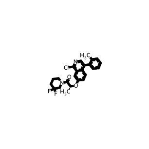 Cc1ccccc1-c1cnc(Cl)c2cc(O[C@H](C)C(=O)N3CCCC(F)(F)C3)ccc12